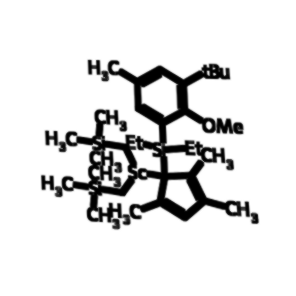 CC[Si](CC)(c1cc(C)cc(C(C)(C)C)c1OC)[C]1([Sc]([CH2][Si](C)(C)C)[CH2][Si](C)(C)C)C(C)=CC(C)=C1C